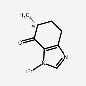 CC(C)n1cnc2c1C(=O)[C@H](C)CC2